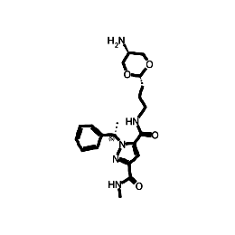 CNC(=O)c1cc(C(=O)NCCC[C@H]2OC[C@H](N)CO2)n([C@@H](C)c2ccccc2)n1